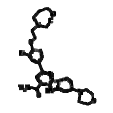 NC(=O)c1cc(-c2ccc(OCCN3CCCOCC3)c(Cl)c2)nc2c1[nH]c1cc(N3CCOCC3)ccc12